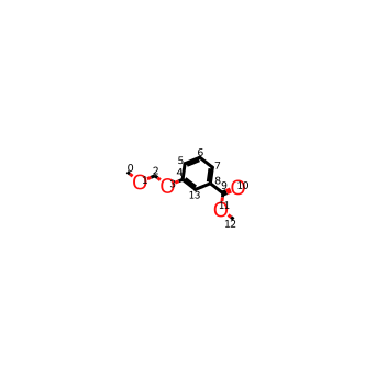 COCOc1cccc(C(=O)OC)c1